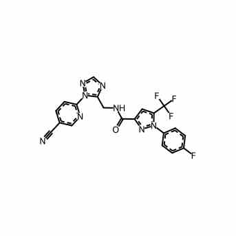 N#Cc1ccc(-n2ncnc2CNC(=O)c2cc(C(F)(F)F)n(-c3ccc(F)cc3)n2)nc1